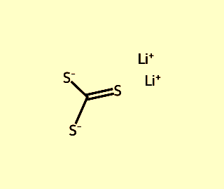 S=C([S-])[S-].[Li+].[Li+]